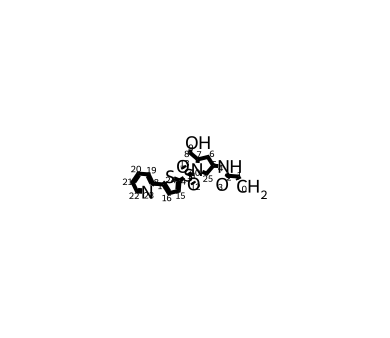 C=CC(=O)NC1CC(CO)N(S(=O)(=O)c2ccc(-c3ccccn3)s2)C1